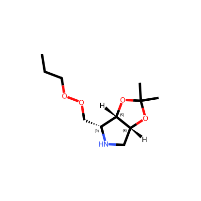 CCCOOC[C@H]1NC[C@H]2OC(C)(C)O[C@@H]12